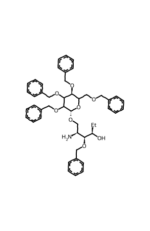 CC[C@@H](O)[C@@H](OCc1ccccc1)[C@@H](N)CO[C@H]1OC(COCc2ccccc2)[C@H](OCc2ccccc2)C(OCc2ccccc2)C1OCc1ccccc1